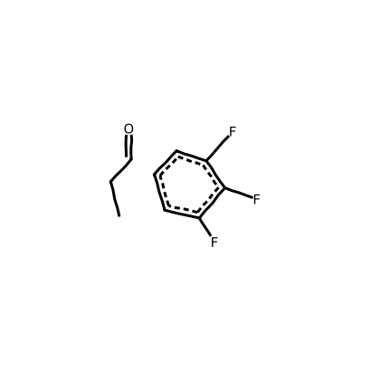 CCC=O.Fc1cccc(F)c1F